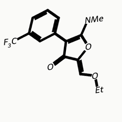 CCO/C=C1\OC(NC)=C(c2cccc(C(F)(F)F)c2)C1=O